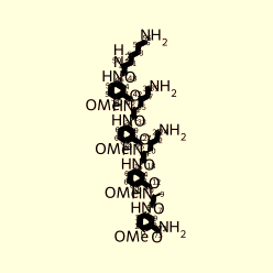 COc1ccc(NC(=O)[C@H](C)NC(=O)c2cc(NC(=O)[C@H](CCCCN)NC(=O)c3cc(NC(=O)[C@H](CCCCN)NC(=O)c4cc(NC(=O)[C@@H](N)CCCCCN)ccc4OC)ccc3OC)ccc2OC)cc1C(N)=O